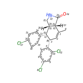 CC1=C[C@H](c2ccc(Cl)cc2Cl)[C@H](c2ccc(Cl)cc2)[C@@H]2CNC(=O)[C@H]12